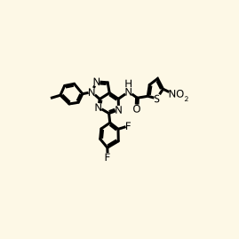 Cc1ccc(-n2ncc3c(NC(=O)c4ccc([N+](=O)[O-])s4)nc(-c4ccc(F)cc4F)nc32)cc1